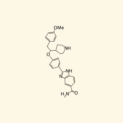 COc1ccc(CC(Oc2ccc(-c3nc4cc(C(N)=O)ccc4[nH]3)cc2)C2CCNCC2)cc1